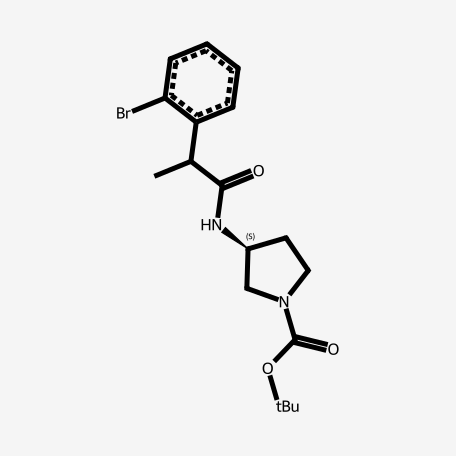 CC(C(=O)N[C@H]1CCN(C(=O)OC(C)(C)C)C1)c1ccccc1Br